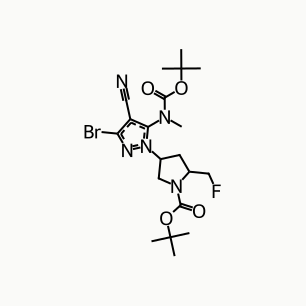 CN(C(=O)OC(C)(C)C)c1c(C#N)c(Br)nn1C1CC(CF)N(C(=O)OC(C)(C)C)C1